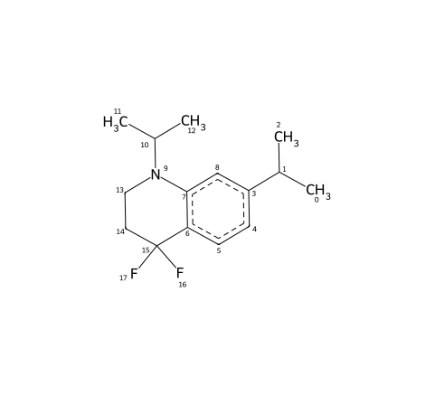 CC(C)c1ccc2c(c1)N(C(C)C)CCC2(F)F